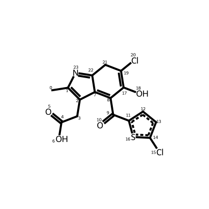 CC1=C(CC(=O)O)C2=C(C(=O)c3ccc(Cl)s3)C(O)=C(Cl)CC2=N1